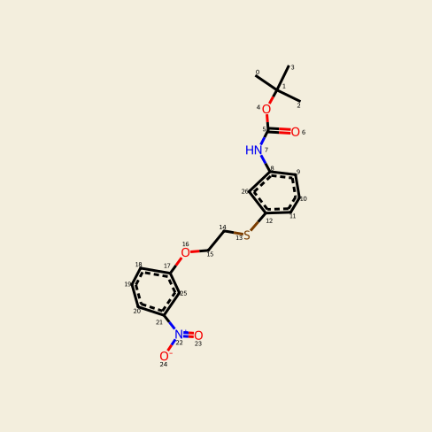 CC(C)(C)OC(=O)Nc1cccc(SCCOc2cccc([N+](=O)[O-])c2)c1